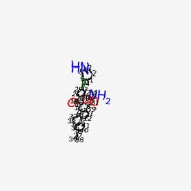 C1=CC=CNC=C1.CC1(C)c2ccc3c(c2=CC(C(=O)c2ccc(F)cc2)C1OC(N)=O)=CCc1cc(C2CC2)ccc1-3